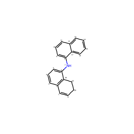 C1=Cc2cccc(Nc3cccc4ccccc34)c2CC1